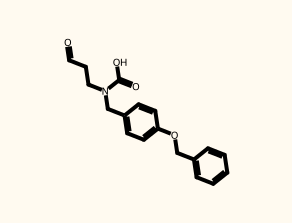 O=CCCN(Cc1ccc(OCc2ccccc2)cc1)C(=O)O